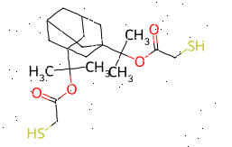 CC(C)(OC(=O)CS)C12CC3CC(C1)CC(C(C)(C)OC(=O)CS)(C3)C2